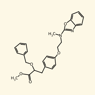 COC(=O)C(Cc1ccc(OCCN(C)c2nc3ccccc3o2)cc1)OCc1ccccc1